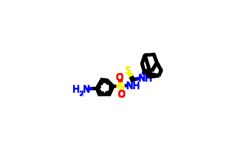 Nc1ccc(S(=O)(=O)NC(=S)NC23CC4CC(CC(C4)C2)C3)cc1